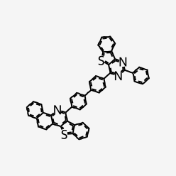 c1ccc(-c2nc(-c3ccc(-c4ccc(-c5nc6c7ccccc7ccc6c6sc7ccccc7c56)cc4)cc3)c3sc4ccccc4c3n2)cc1